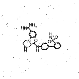 N=C(N)c1cccc(N2CCNCC2C(=O)Nc2ccc(-c3ccccc3S(N)(=O)=O)cc2)c1